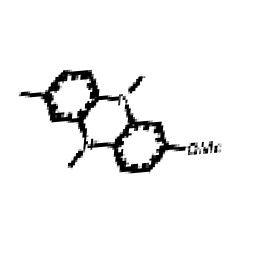 COc1ccc2c(c1)N(C)c1ccc(C)cc1N2C